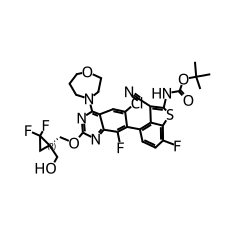 CC(C)(C)OC(=O)Nc1sc2c(F)ccc(-c3c(Cl)cc4c(N5CCCOCC5)nc(OC[C@]5(CO)CC5(F)F)nc4c3F)c2c1C#N